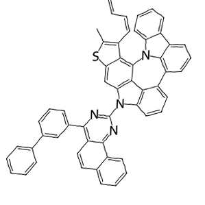 C=C/C=C\c1c(C)sc2cc3c4c5c(cccc5n3-c3nc(-c5cccc(-c6ccccc6)c5)c5ccc6ccccc6c5n3)c3cccc5c6ccccc6n(c35)c4c12